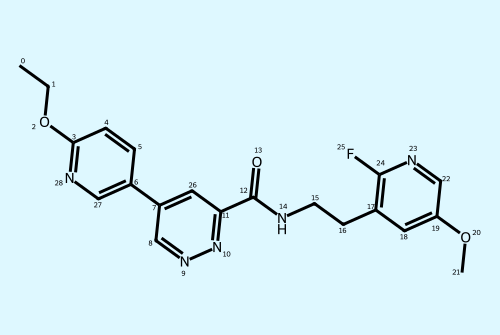 CCOc1ccc(-c2cnnc(C(=O)NCCc3cc(OC)cnc3F)c2)cn1